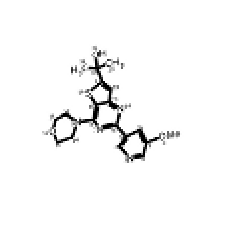 COc1cncc(-c2nc(N3CCOCC3)c3sc(C(C)(C)O)cc3n2)c1